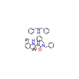 CC(C)c1cccc(C(C)C)c1NC(=O)NC(=O)N(Cc1ccccc1)Cc1ccccc1.c1ccc(CNCc2ccccc2)cc1